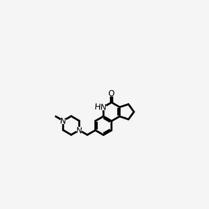 CN1CCN(Cc2ccc3c4c(c(=O)[nH]c3c2)CCC4)CC1